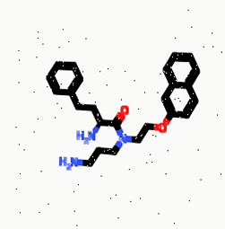 NCCCN(CCOc1ccc2ccccc2c1)C(=O)[C@@H](N)CCc1ccccc1